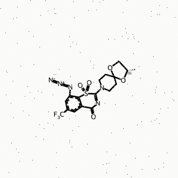 C[C@H]1COC2(CCN(C3=NC(=O)c4cc(C(F)(F)F)cc(N=[N+]=[N-])c4S3(=O)=O)CC2)O1